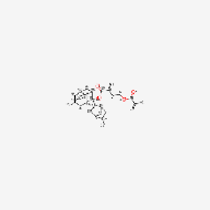 C=C(C)C(=O)OCCC(=C)C(=O)OC1(C2CC3CC2CC3C)C2CC3CC1CC(C)(C3)C2